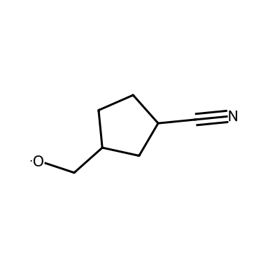 N#CC1CCC(C[O])C1